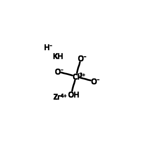 [H-].[KH].[O-][Cl+3]([O-])([O-])O.[Zr+4]